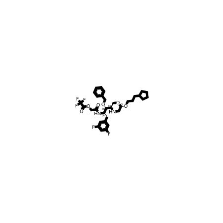 O=C(COC(=O)C(F)(F)F)N[C@@H](Cc1cc(F)cc(F)c1)[C@H](OCc1ccccc1)[C@H]1CO[C@H](OCCCC2CCCC2)CN1